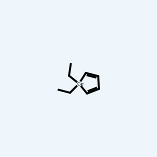 C[CH2][Ge]1([CH2]C)[CH]=CC=[CH]1